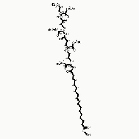 CC(C)(C)OC(=O)CCCCCCCCCCCCCCCCC(=O)N[C@@H](CCCN[C@@H](CCC(=O)N[C@@H](CCC(=O)N[C@@H](CCC(=O)O)C(=O)OC(C)(C)C)C(=O)OC(C)(C)C)C(=O)OC(C)(C)C)C(=O)OC(C)(C)C